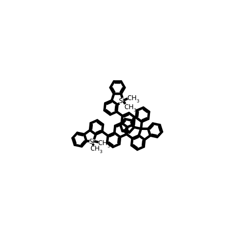 C[Si]1(C)c2ccccc2-c2cccc(-c3cccc4c(-c5cccc6c5C(c5ccccc5)(c5ccccc5)c5ccccc5-6)c5cccc(-c6cccc7c6[Si](C)(C)c6ccccc6-7)c5cc34)c21